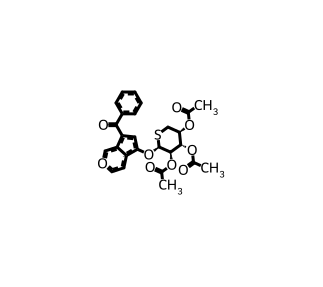 CC(=O)O[C@@H]1[C@@H](OC(C)=O)[C@@H](Oc2cc(C(=O)c3ccccc3)c3coccc2-3)SC[C@H]1OC(C)=O